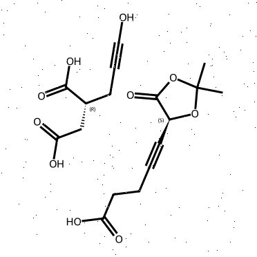 CC1(C)OC(=O)[C@H](C#CCCC(=O)O)O1.O=C(O)C[C@@H](CC#CO)C(=O)O